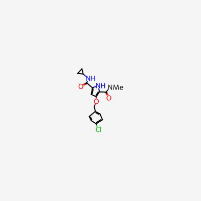 CNC(=O)c1[nH]c(C(=O)NC2CC2)cc1OCc1ccc(Cl)cc1